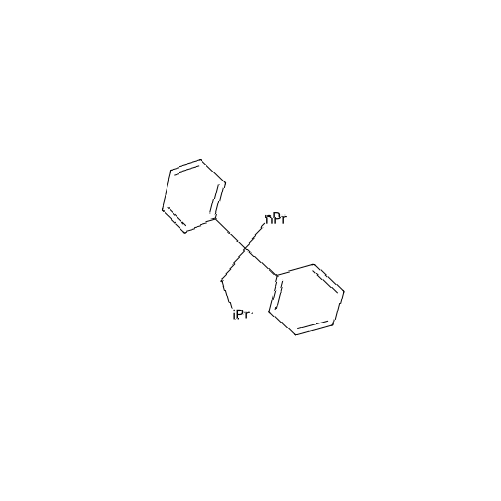 CCCC(C[C](C)C)(c1ccccc1)c1ccccc1